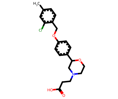 Cc1ccc(COc2ccc(C3CN(CCC(=O)O)CCO3)cc2)c(Cl)c1